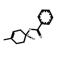 CC(=O)[C@]1(OC(=O)c2ccccc2)CC=C(C)CC1